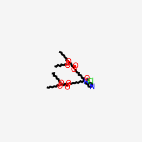 CCCCCCCOC(CCC(=O)OCCCCCCCC(CCCCCCCOC(=O)CCC(OCCCCCCC)OCCCCCCC)N(CC1CCN(C)CC1)C(=O)Cl)OCCCCCCC